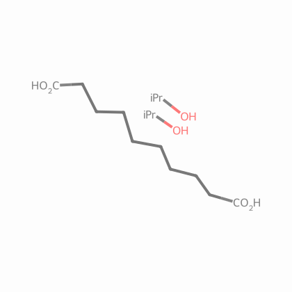 CC(C)O.CC(C)O.O=C(O)CCCCCCCCC(=O)O